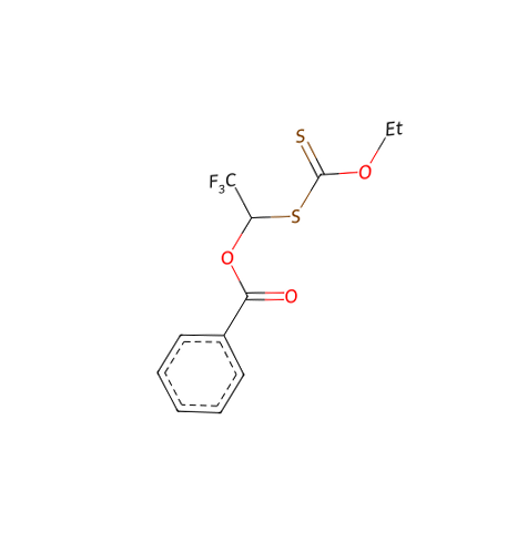 CCOC(=S)SC(OC(=O)c1ccccc1)C(F)(F)F